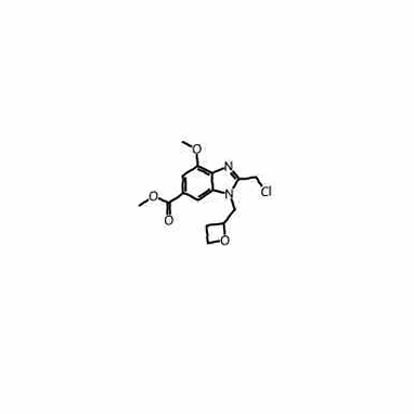 COC(=O)c1cc(OC)c2nc(CCl)n(CC3CCO3)c2c1